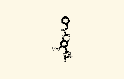 COc1cc(OC(=O)NCc2ccccc2)c(Cl)cc1-c1n[nH]c(=O)o1